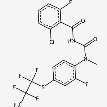 CN(C(=O)NC(=O)c1c(F)cccc1Cl)c1ccc(SC(F)(F)C(F)(F)C(F)(F)F)cc1F